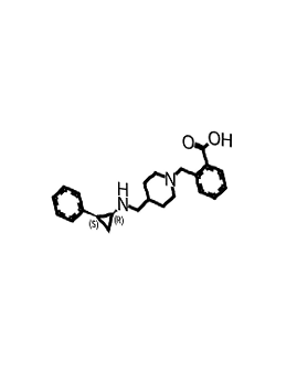 O=C(O)c1ccccc1CN1CCC(CN[C@@H]2C[C@H]2c2ccccc2)CC1